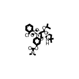 CC(C)OC(=O)[C@@](C)(C(=O)[C@H]1NC(C)(C)CS1)N(c1ccc(OC(=O)N(C)C)cc1)S(=O)(=O)c1ccccc1Cl